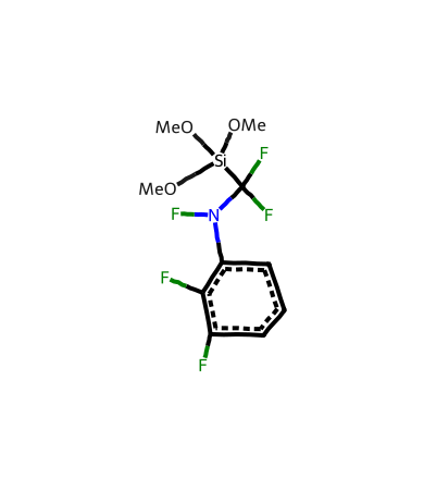 CO[Si](OC)(OC)C(F)(F)N(F)c1cccc(F)c1F